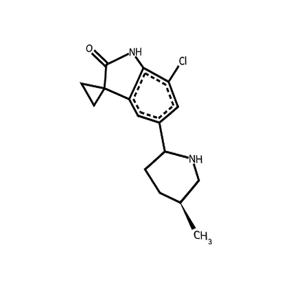 C[C@H]1CCC(c2cc(Cl)c3c(c2)C2(CC2)C(=O)N3)NC1